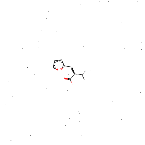 CC(C)C(=Cc1ccco1)C(=O)O